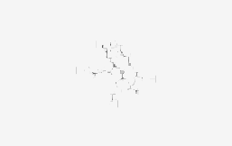 CCOC[CH](OCC)[Bi]([CH](COCC)OCC)[CH](COCC)OCC